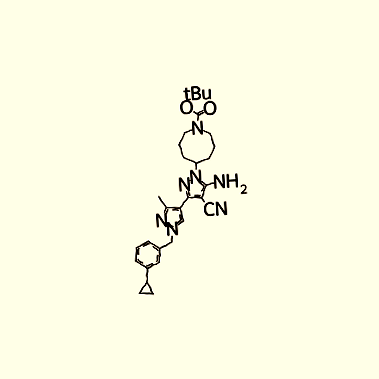 Cc1nn(Cc2cccc(C3CC3)c2)cc1-c1nn(C2CCCN(C(=O)OC(C)(C)C)CCC2)c(N)c1C#N